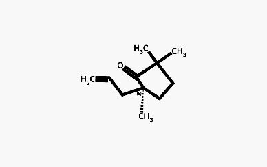 C=CC[C@]1(C)CCC(C)(C)C1=O